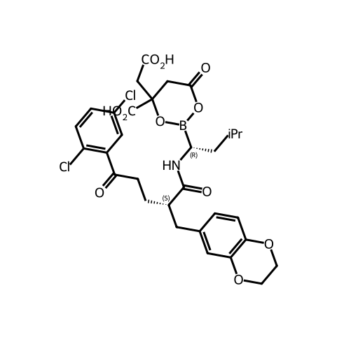 CC(C)C[C@H](NC(=O)[C@@H](CCC(=O)c1cc(Cl)ccc1Cl)Cc1ccc2c(c1)OCCO2)B1OC(=O)CC(CC(=O)O)(C(=O)O)O1